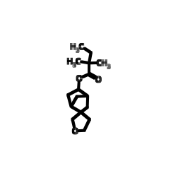 CCC(C)(C)C(=O)OC1CC2CC1CC21CCOC1